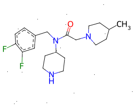 CC1CCN(CC(=O)N(Cc2ccc(F)c(F)c2)C2CCNCC2)CC1